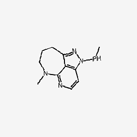 CPn1nc2c3c(nccc31)N(C)CCC2